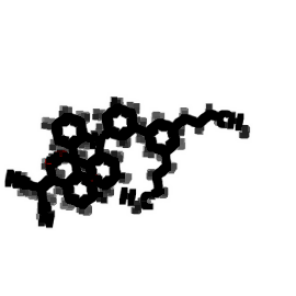 CCCCc1cc(CCCC)cc(-c2cccc(N3c4ccccc4C4(c5ccccc5C(=C(C#N)C#N)c5ccccc54)c4ccccc43)c2)c1